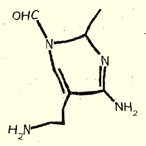 CC1N=C(N)C(CN)=CN1C=O